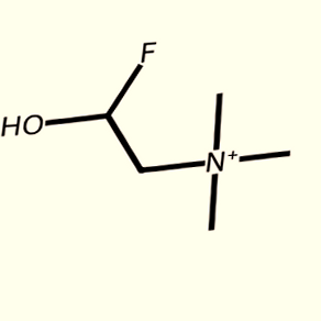 C[N+](C)(C)CC(O)F